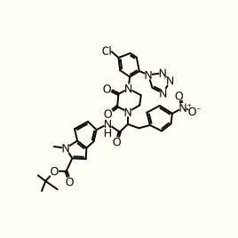 Cn1c(C(=O)OC(C)(C)C)cc2cc(NC(=O)C(Cc3ccc([N+](=O)[O-])cc3)N3CCN(c4cc(Cl)ccc4-n4cnnn4)C(=O)C3=O)ccc21